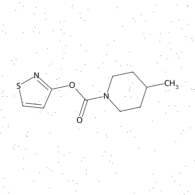 CC1CCN(C(=O)Oc2ccsn2)CC1